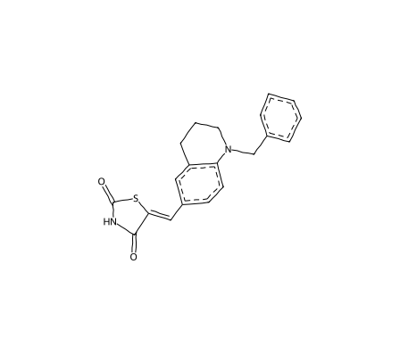 O=C1NC(=O)C(=Cc2ccc3c(c2)CCCN3Cc2ccccc2)S1